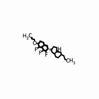 C=CCOc1ccc2cc([C@@H]3CC[C@@H]4CC(CCC)CCC4C3)c(F)c(F)c2c1F